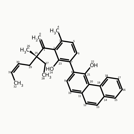 C=C(c1c(C)ccc(-c2ccc3ccc4ccccc4c3c2O)c1O)[C@](C)(CC)C/C=C\C